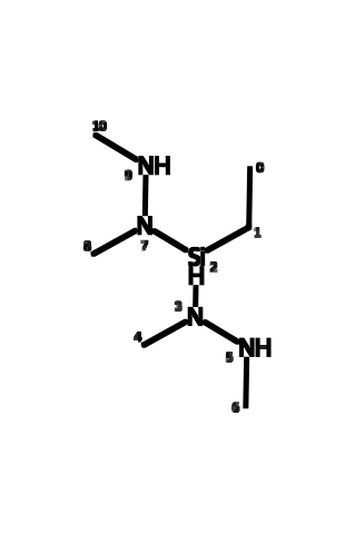 CC[SiH](N(C)NC)N(C)NC